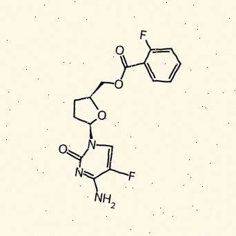 Nc1nc(=O)n([C@H]2CC[C@@H](COC(=O)c3ccccc3F)O2)cc1F